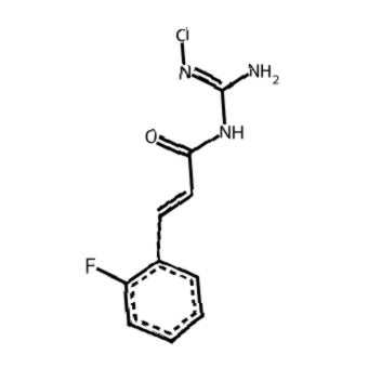 NC(=NCl)NC(=O)C=Cc1ccccc1F